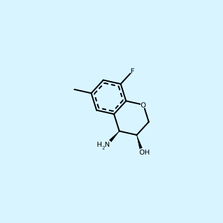 Cc1cc(F)c2c(c1)[C@H](N)[C@H](O)CO2